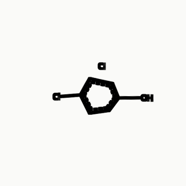 Oc1ccc(Cl)cc1.[C]